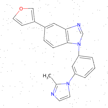 Cc1nccn1-c1cccc(-n2cnc3cc(-c4ccoc4)ccc32)c1